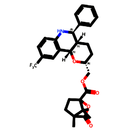 CC12CCC(C(=O)OC[C@H]3CC[C@@H]4[C@H](O3)c3cc(C(F)(F)F)ccc3N[C@H]4c3ccccc3)(OC1=O)C2(C)C